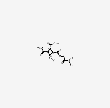 CCN(CC)C(=O)COC(=O)[C@@H]1[C@@H](C(=O)O)[C@@H](C(=O)OC)[C@@H]1C(=O)OC